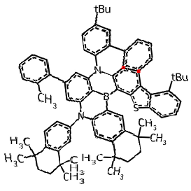 Cc1ccccc1-c1cc2c3c(c1)N(c1ccc(C(C)(C)C)cc1-c1ccccc1)c1ccc4c(sc5cccc(C(C)(C)C)c54)c1B3c1cc3c(cc1N2c1ccc2c(c1)C(C)(C)CCC2(C)C)C(C)(C)CCC3(C)C